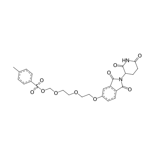 Cc1ccc(S(=O)(=O)OCOCCOCCOc2ccc3c(c2)C(=O)N(C2CCC(=O)NC2=O)C3=O)cc1